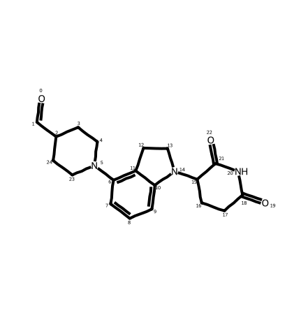 O=CC1CCN(c2cccc3c2CCN3C2CCC(=O)NC2=O)CC1